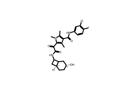 Cc1c(C(=O)Nc2ccc(F)c(Cl)c2)c(C)n(C)c1C(=O)C(=O)NC1C[C@@H]2CC[C@@H](O)CC12